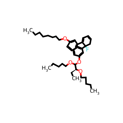 CCCCCCCCOc1cccc(C2=CC=CCC2(F)c2cccc(OC(OCCCCC)[C@H](CC)OCCCCC)c2)c1